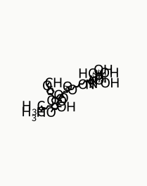 COc1ccc(-c2oc3c(CC=C(C)C)c(O)cc(O)c3c(=O)c2OC(=O)CCC(=O)OCCCOCc2cn([C@H]3O[C@@H](CO)[C@H](O)[C@@H](O)[C@@H]3O)nn2)cc1